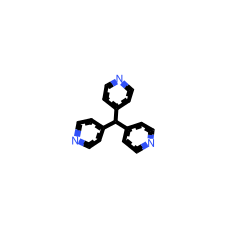 c1cc(C(c2ccncc2)c2ccncc2)ccn1